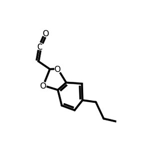 CCCc1ccc2c(c1)OC(C=C=O)O2